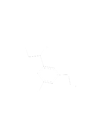 CCCCOc1cc(CCCC)cc([C](C)CF)c1